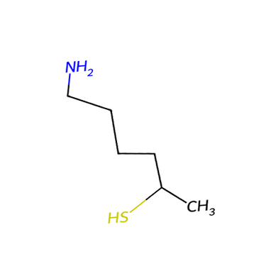 CC(S)CCCCN